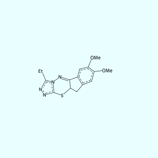 CCc1nnc2n1N=C1c3cc(OC)c(OC)cc3CC1S2